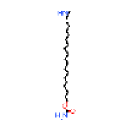 C1CN1.CCCCCCCCCCCCCCCCCCOC(N)=O